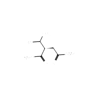 COC(=O)C[C@@H](C(=O)OC)C(C)C(C)C